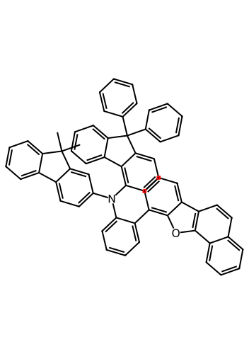 CC1(C)c2ccccc2-c2ccc(N(c3ccccc3-c3cccc4c3oc3c5ccccc5ccc43)c3cccc4c3-c3ccccc3C4(c3ccccc3)c3ccccc3)cc21